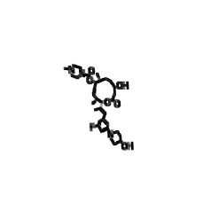 C/C(=C\c1cc(F)cc(N2CCC(O)CC2)c1)[C@H]1OC(=O)C[C@H](O)CC[C@H](C)[C@H](OC(=O)N2CCN(C)CC2)/C=C/[C@@H]1C